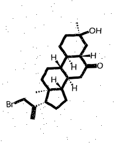 C=C(CBr)[C@H]1CC[C@H]2[C@@H]3CC(=O)[C@H]4C[C@](C)(O)CC[C@@H]4[C@H]3CC[C@]12C